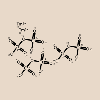 [O]=[Cr](=[O])([O-])[O][Cr](=[O])(=[O])[O-].[O]=[Cr](=[O])([O-])[O][Cr](=[O])(=[O])[O-].[O]=[Cr](=[O])([O-])[O][Cr](=[O])(=[O])[O-].[Tm+3].[Tm+3]